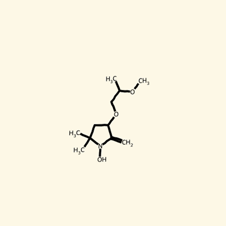 C=C1C(OCC(C)OC)CC(C)(C)N1O